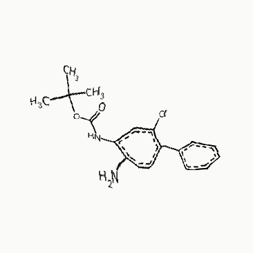 CC(C)(C)OC(=O)Nc1cc(Cl)c(-c2ccccc2)cc1N